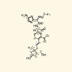 C[N+]1(C/C=C/C2=C(C(=O)[O-])N3C(=O)[C@@H](NC(=O)/C(=N\OCF)c4nsc(N)n4)[C@@H]3SC2)C[C@H](O)C[C@H]1CO